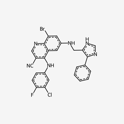 N#Cc1cnc2c(Br)cc(NCc3[nH]cnc3-c3ccccc3)cc2c1Nc1ccc(F)c(Cl)c1